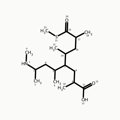 CNC(C)CC(C)C(CC(C)C(=O)O)C(C)CC(C)C(=O)SC